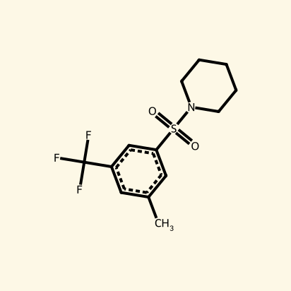 Cc1cc(C(F)(F)F)cc(S(=O)(=O)N2CCCCC2)c1